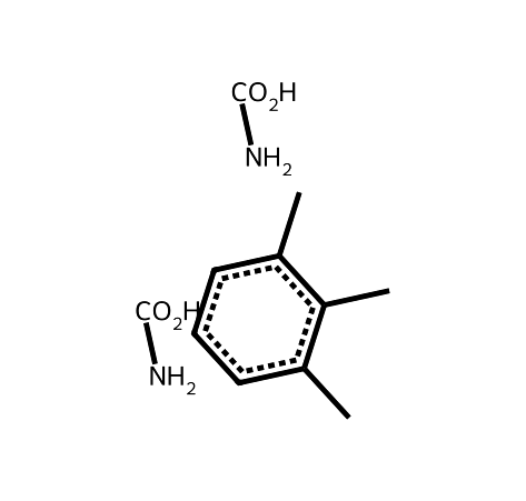 Cc1cccc(C)c1C.NC(=O)O.NC(=O)O